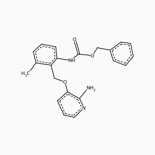 Cc1cccc(NC(=O)OCc2ccccc2)c1COc1cccnc1N